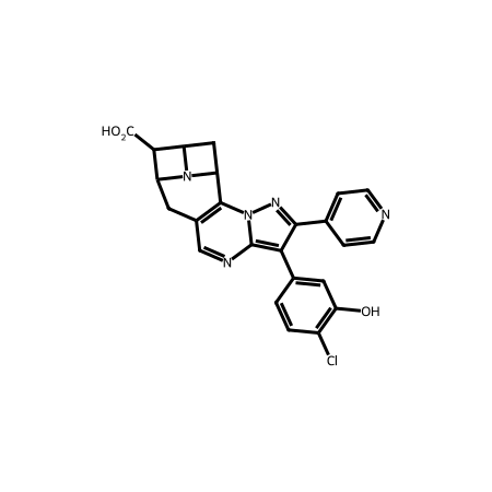 O=C(O)C1C2Cc3cnc4c(-c5ccc(Cl)c(O)c5)c(-c5ccncc5)nn4c3C3CC1N32